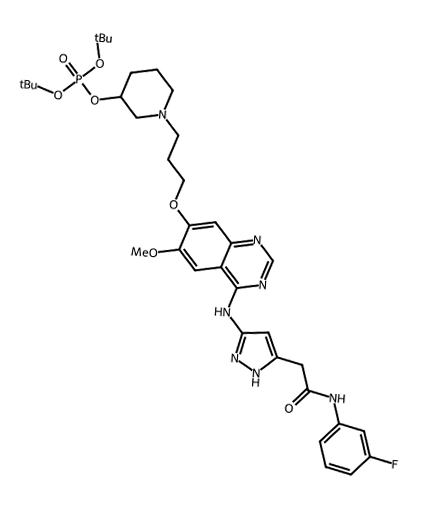 COc1cc2c(Nc3cc(CC(=O)Nc4cccc(F)c4)[nH]n3)ncnc2cc1OCCCN1CCCC(OP(=O)(OC(C)(C)C)OC(C)(C)C)C1